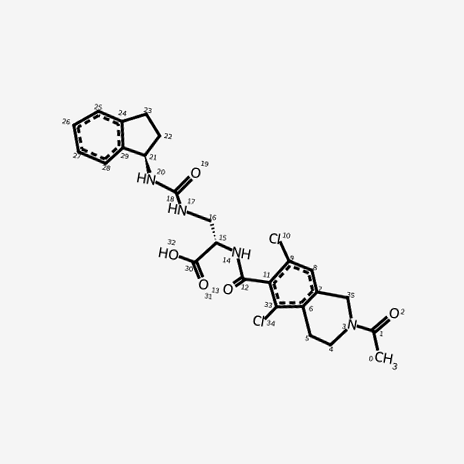 CC(=O)N1CCc2c(cc(Cl)c(C(=O)N[C@@H](CNC(=O)N[C@@H]3CCc4ccccc43)C(=O)O)c2Cl)C1